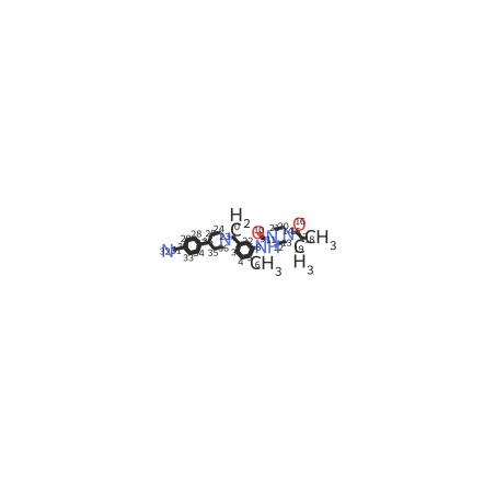 C=C(c1ccc(C)c(NC(=O)N2CCN(C(=O)C(C)C)CC2)c1)N1CCC(c2ccc(C#N)cc2)CC1